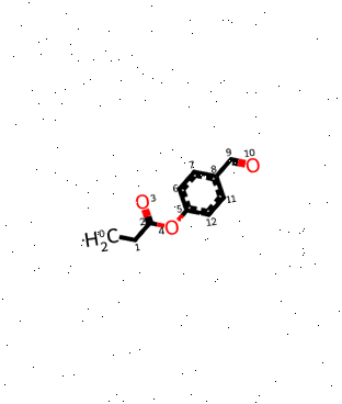 [CH2]CC(=O)Oc1ccc(C=O)cc1